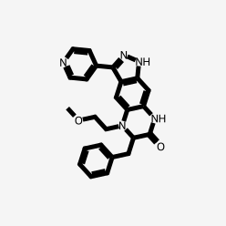 COCCN1c2cc3c(-c4ccncc4)n[nH]c3cc2NC(=O)C1Cc1ccccc1